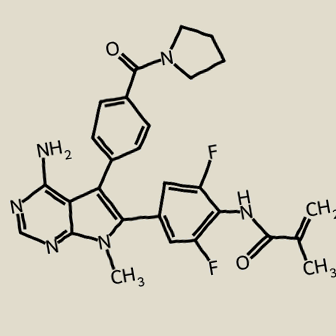 C=C(C)C(=O)Nc1c(F)cc(-c2c(-c3ccc(C(=O)N4CCCC4)cc3)c3c(N)ncnc3n2C)cc1F